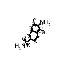 Cc1cc2cc(S(N)(=O)=O)ccc2c(C)c1N